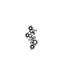 O=C(O)[C@H](CC[C@H](Cc1ccccc1)C(=O)NC1CCCCN(c2ccccc2)C1=O)Cc1ccccc1